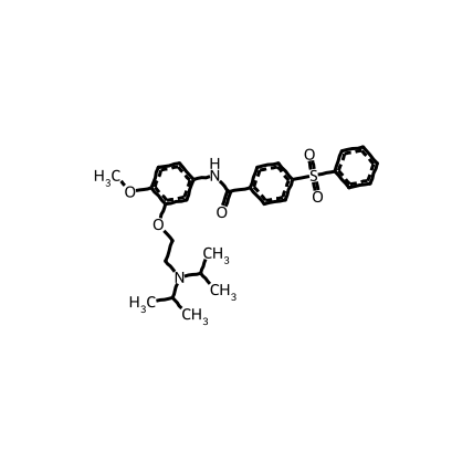 COc1ccc(NC(=O)c2ccc(S(=O)(=O)c3ccccc3)cc2)cc1OCCN(C(C)C)C(C)C